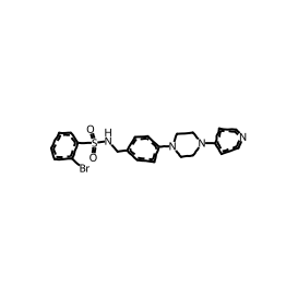 O=S(=O)(NCc1ccc(N2CCN(c3ccncc3)CC2)cc1)c1ccccc1Br